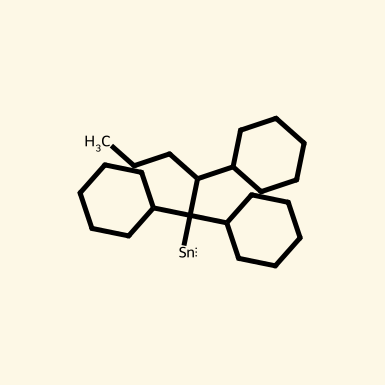 CCCC(C1CCCCC1)[C]([Sn])(C1CCCCC1)C1CCCCC1